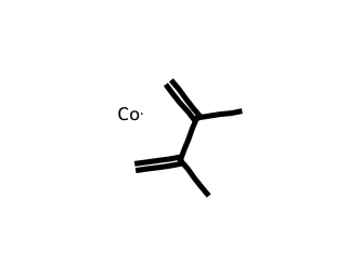 C=C(C)C(=C)C.[Co]